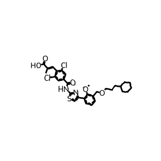 COc1c(COCCCC2CCCCC2)cccc1-c1csc(NC(=O)c2cc(Cl)c(C=C(C)C(=O)O)c(Cl)c2)n1